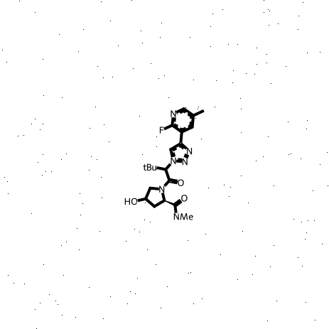 CNC(=O)[C@H]1CC(O)CN1C(=O)C(n1cc(-c2cc(C)cnc2F)nn1)C(C)(C)C